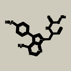 C=CC(Cn1cc(-c2ccc(C(=O)O)cc2)c2c(N)ncnc21)NC(=O)OC(C)(C)C